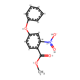 COC(=O)c1ccc(Oc2ccccc2)cc1[N+](=O)[O-]